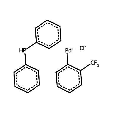 FC(F)(F)c1cccc[c]1[Pd+].[Cl-].c1ccc(Pc2ccccc2)cc1